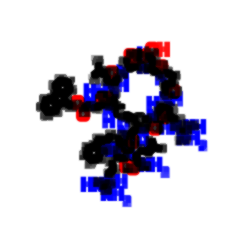 CC(C)=CC[C@H](NC(=O)[C@H](CCCNC(=N)N)NC(=O)[C@H](Cc1cc2ccccc2[nH]1)NC(=O)[C@H](C)NC(=O)[C@@H]1CC=CC[C@H](NC(=O)CNC(=O)OCC2c3ccccc3-c3ccccc32)C(=O)N[C@@H](CC=C(C)C)C(=O)N[C@@H](CO)C(=O)N[C@@H](CC(=O)O)C(=O)N2CCCC2C(=O)N[C@@H](CCCNC(=N)N)C(=O)N1)C(N)=O